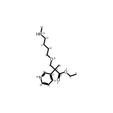 CCOC(=O)C(C)(COCCCCNC)c1cccnc1